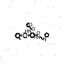 Cc1ccccc1N1CCN(c2ccc(C(=O)NCCN(C)C3CCCC3)cc2NC(=O)c2ccco2)CC1